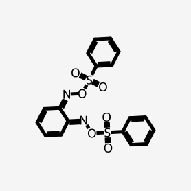 O=S(=O)(ON=C1C=CC=CC1=NOS(=O)(=O)c1ccccc1)c1ccccc1